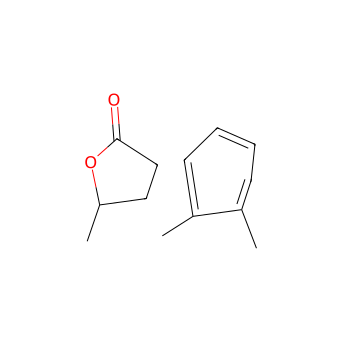 CC1CCC(=O)O1.Cc1ccccc1C